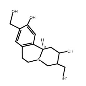 CC(C)CC1CN2CCc3cc(CO)c(O)cc3[C@H]2CC1O